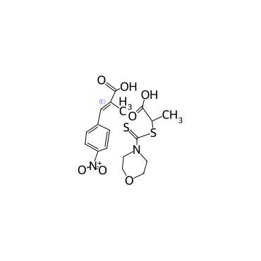 C/C(=C\c1ccc([N+](=O)[O-])cc1)C(=O)O.CC(SC(=S)N1CCOCC1)C(=O)O